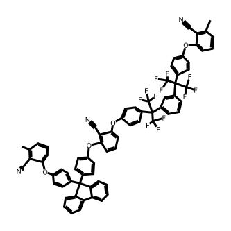 Cc1cccc(Oc2ccc(C3(c4ccc(Oc5cccc(Oc6ccc(C(c7cccc(C(c8ccc(Oc9cccc(C)c9C#N)cc8)(C(F)(F)F)C(F)(F)F)c7)(C(F)(F)F)C(F)(F)F)cc6)c5C#N)cc4)c4ccccc4-c4ccccc43)cc2)c1C#N